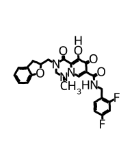 CN1CN(CC2Cc3ccccc3O2)C(=O)c2c(O)c(=O)c(C(=O)NCc3ccc(F)cc3F)cn21